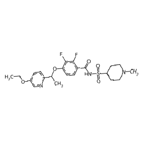 CCOc1ccc(C(C)Oc2ccc(C(=O)NS(=O)(=O)C3CCN(C)CC3)c(F)c2F)nc1